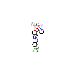 COC(=O)C1(c2cccc3nn(Cc4cccc(C(F)(F)F)c4)cc23)C=CC=CN1